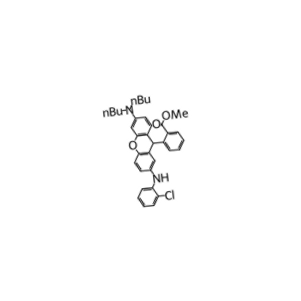 CCCCN(CCCC)c1ccc2c(c1)Oc1ccc(Nc3ccccc3Cl)cc1C2c1ccccc1C(=O)OC